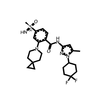 Cc1cc(NC(=O)c2ccc([S@](C)(=N)=O)cc2N2CCC3(CC2)CC3)nn1C1CCC(F)(F)CC1